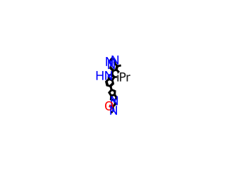 Cc1c(-c2[nH]c3ccc(C4CC5CN(CC(=O)N(C)C)CC5C4)cc3c2C(C)C)cn2ncnc2c1C